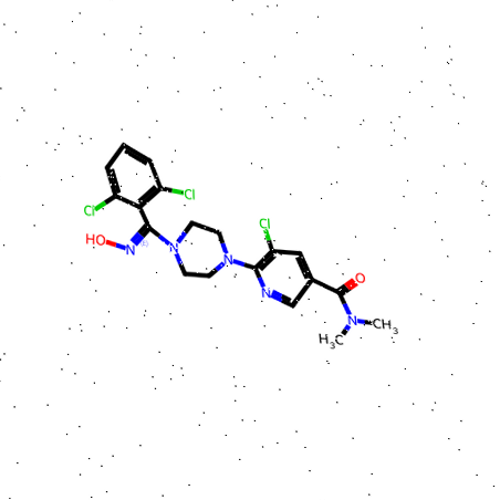 CN(C)C(=O)c1cnc(N2CCN(/C(=N/O)c3c(Cl)cccc3Cl)CC2)c(Cl)c1